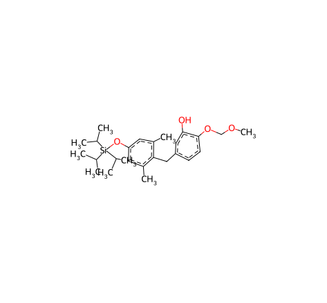 COCOc1ccc(Cc2c(C)cc(O[Si](C(C)C)(C(C)C)C(C)C)cc2C)cc1O